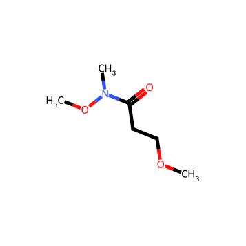 COCCC(=O)N(C)OC